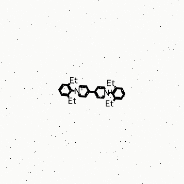 CCc1cccc(CC)c1-[n+]1ccc(-c2cc[n+](-c3c(CC)cccc3CC)cc2)cc1